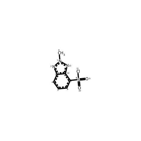 Cn1nc2cccc(S(=O)(=O)Cl)c2n1